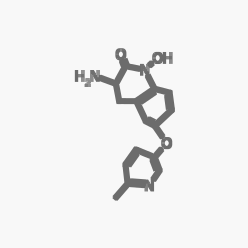 Cc1ccc(Oc2ccc3c(c2)CC(N)C(=O)N3O)cn1